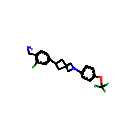 NCc1ccc(C2CC3(C2)CN(c2ccc(OC(F)(F)F)cc2)C3)cc1F